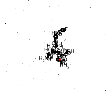 CC(C)(NC(=O)OCc1ccc(NC(=O)Cc2ccc(F)cc2)cc1)C(=O)O[C@@H]1C(COP(=O)(O)O[C@H]2[C@@H](OC3CCCO3)[C@H](n3ccc(N)nc3=O)O[C@@H]2COP(=O)(O)O)O[C@@H](n2cnc3c(N)ncnc32)[C@@H]1O